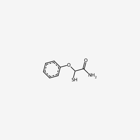 NC(=O)C(S)Oc1ccccc1